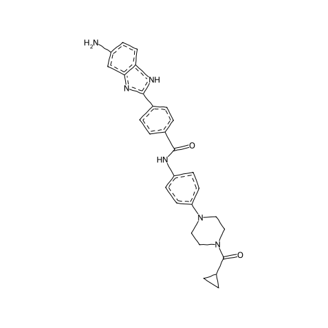 Nc1ccc2[nH]c(-c3ccc(C(=O)Nc4ccc(N5CCN(C(=O)C6CC6)CC5)cc4)cc3)nc2c1